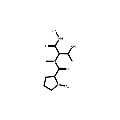 CC(=O)N1CCCC1C(=O)N(C)C(C(=O)NC(C)C)C(C)O